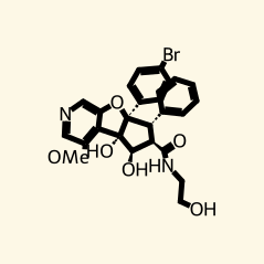 COc1cncc2c1[C@]1(O)[C@H](O)[C@H](C(=O)NCCO)[C@@H](c3ccccc3)[C@]1(c1ccc(Br)cc1)O2